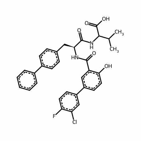 CC(C)C(NC(=O)[C@H](Cc1ccc(-c2ccccc2)cc1)NC(=O)c1cc(-c2ccc(F)c(Cl)c2)ccc1O)C(=O)O